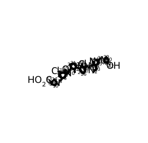 Cc1c(-c2nc3cc(CN4CC[C@@H](C(=O)O)C4)cc(Cl)c3o2)cccc1-c1cccc(Nc2nccc3cc(CN4CC[C@@H](O)C4)cnc23)c1Cl